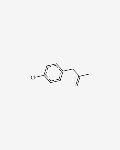 C=C(C)Cc1ccc(Cl)cc1